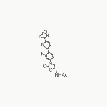 CC(=O)NC[C@H]1CN(c2ccc(-c3ccc(-c4ncon4)nc3)c(F)c2)C(=O)O1